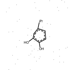 CC(C)c1ccc(O)c(O)c1